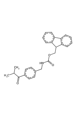 CC(C)C(=O)c1ccc(CNC(=O)OCC2c3ccccc3-c3ccccc32)cc1